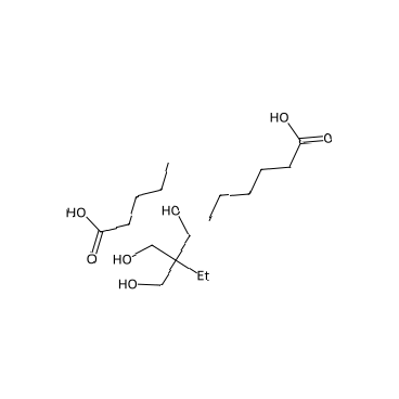 CCC(CO)(CO)CO.CCCCC(=O)O.CCCCCC(=O)O